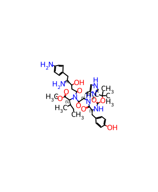 CCC(C)[C@@H](C(=O)OC)N(C(=O)CC(O)[C@@H](N)Cc1ccc(N)cc1)C(=O)[C@H](Cc1c[nH]cn1)NC(=O)[C@H](Cc1ccc(O)cc1)NC(=O)OC(C)(C)C